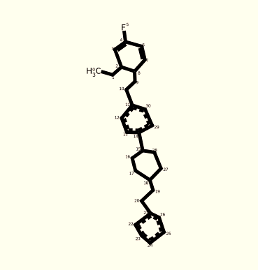 CCC1C=C(F)C=CC1CCc1ccc(C2CCC(CCc3ccccc3)CC2)cc1